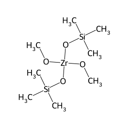 C[O][Zr]([O]C)([O][Si](C)(C)C)[O][Si](C)(C)C